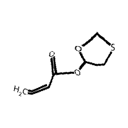 C=CC(=O)OC1CSCO1